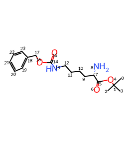 CC(C)(C)OC(=O)[C@@H](N)CCCCNC(=O)OCc1ccccc1